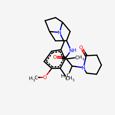 COc1ccc(CN2C3CCC2CC(NC(=O)C(C)N2CCCCC2=O)C3)c(C)c1C